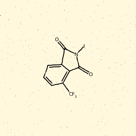 O=C1c2cccc(C(F)(F)F)c2C(=O)N1I